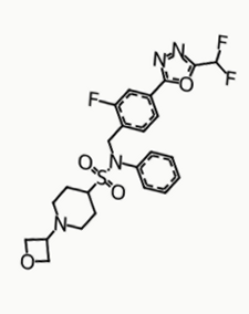 O=S(=O)(C1CCN(C2COC2)CC1)N(Cc1ccc(-c2nnc(C(F)F)o2)cc1F)c1ccccc1